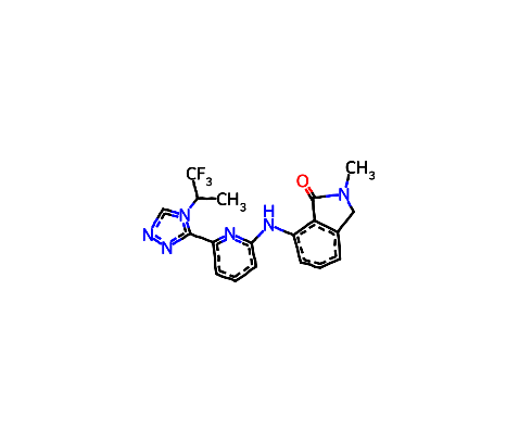 CC(n1cnnc1-c1cccc(Nc2cccc3c2C(=O)N(C)C3)n1)C(F)(F)F